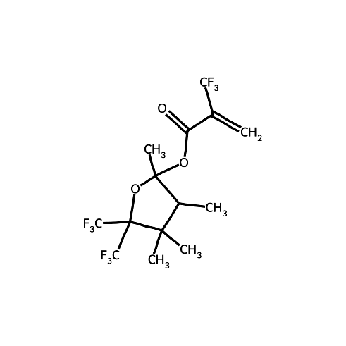 C=C(C(=O)OC1(C)OC(C(F)(F)F)(C(F)(F)F)C(C)(C)C1C)C(F)(F)F